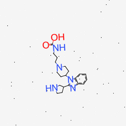 O=C(O)NCCCN1CCC(n2c(C3CCNC3)nc3ccccc32)CC1